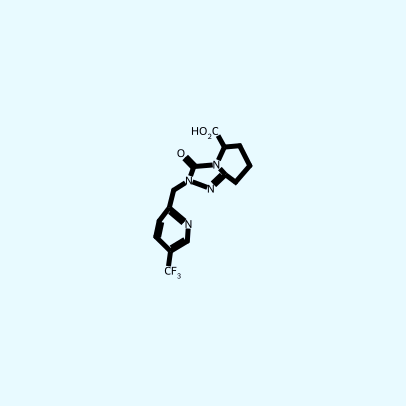 O=C(O)C1CCCc2nn(Cc3ccc(C(F)(F)F)cn3)c(=O)n21